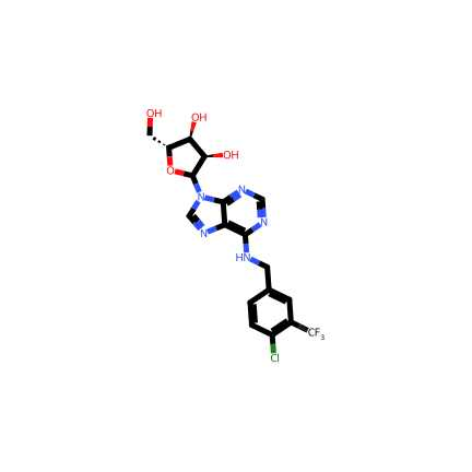 OC[C@H]1OC(n2cnc3c(NCc4ccc(Cl)c(C(F)(F)F)c4)ncnc32)[C@H](O)[C@@H]1O